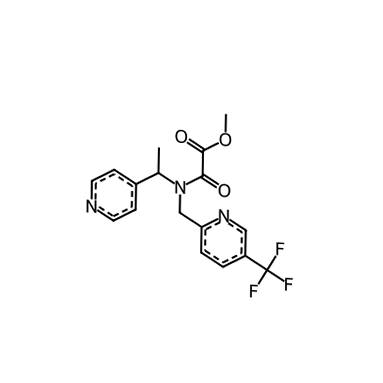 COC(=O)C(=O)N(Cc1ccc(C(F)(F)F)cn1)C(C)c1ccncc1